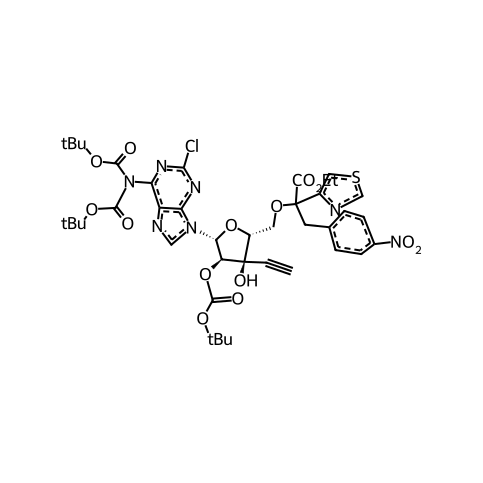 C#C[C@@]1(O)[C@@H](COC(Cc2ccc([N+](=O)[O-])cc2)(C(=O)OCC)c2cscn2)O[C@@H](n2cnc3c(N(C(=O)OC(C)(C)C)C(=O)OC(C)(C)C)nc(Cl)nc32)[C@@H]1OC(=O)OC(C)(C)C